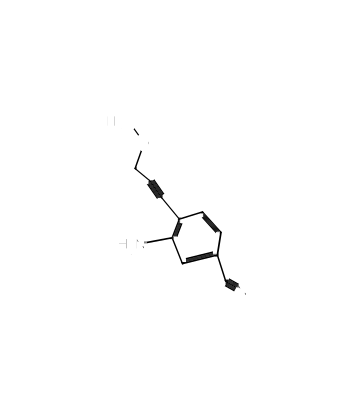 COCC#Cc1ccc(C#N)cc1N